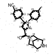 Cc1ccc(-n2nc(C(=O)N3CC4CNCC(C4)C3)cc2-c2ccc(C#N)cc2)cc1